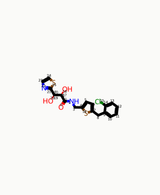 O=C(NCc1ccc(Cc2ccccc2Cl)s1)[C@H](O)[C@@H](O)c1nccs1